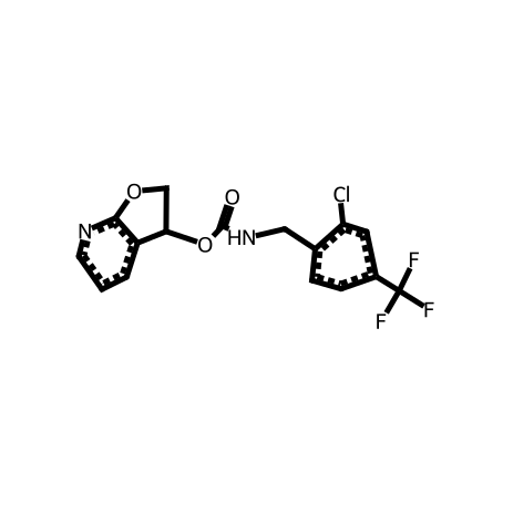 O=C(NCc1ccc(C(F)(F)F)cc1Cl)OC1COc2ncccc21